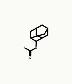 O=C(F)OC1C2CC3CC(C2)CC1C3